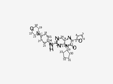 O=c1c(-c2ccco2)nc2cnc(Nc3ccc(N4CCOCC4)cc3)nc2n1C1CCCC1